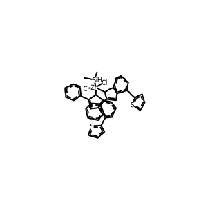 C[SiH](C)[Zr]([Cl])([Cl])([CH]1C(c2ccccc2)=Cc2c(-c3cccs3)cccc21)[CH]1C(c2ccccc2)=Cc2c(-c3cccs3)cccc21